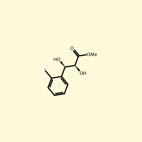 COC(=O)[C@@H](O)[C@H](O)c1ccccc1I